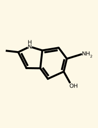 Cc1cc2cc(O)c(N)cc2[nH]1